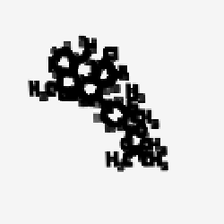 [2H]Cc1ccnc(C(C)C)c1-n1c(=O)nc(N2CCN(C(=O)OC(C)(C)C)C(C)(C)C2)c2cc(F)c(Cl)nc21